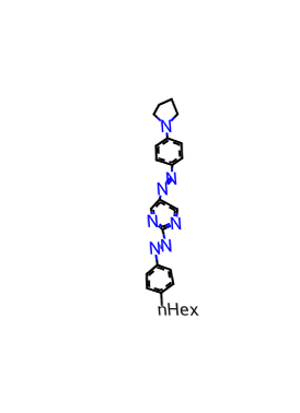 CCCCCCc1ccc(N=Nc2ncc(N=Nc3ccc(N4CCCC4)cc3)cn2)cc1